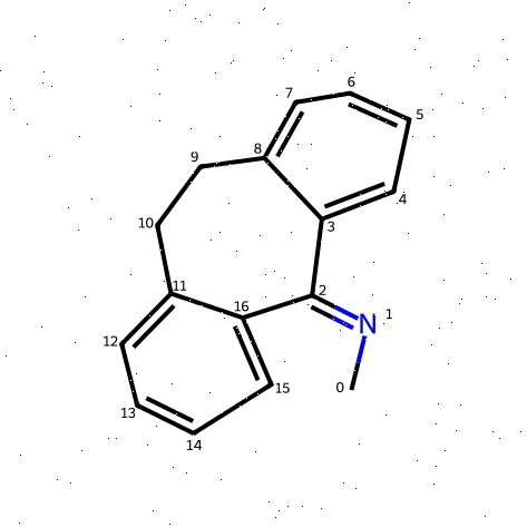 CN=C1c2ccccc2CCc2ccccc21